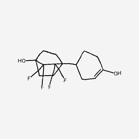 OC1=CCC(C23CCC(O)(CC2)C(F)(F)C3(F)F)CC1